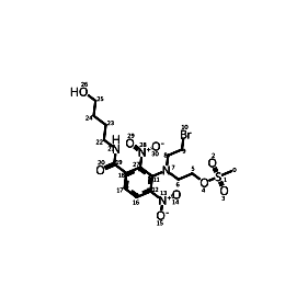 CS(=O)(=O)OCCN(CCBr)c1c([N+](=O)[O-])ccc(C(=O)NCCCCO)c1[N+](=O)[O-]